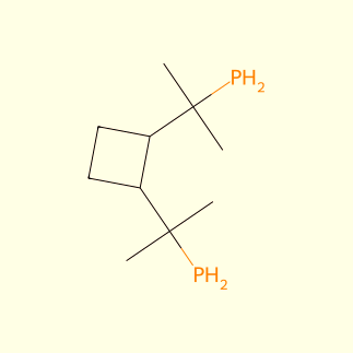 CC(C)(P)C1CCC1C(C)(C)P